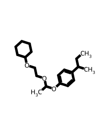 CCC(C)c1ccc(OC(C)OCCOC2CCCCC2)cc1